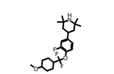 COC1CCC(C(F)(F)Oc2ccc(C3CC(C)(C)NC(C)(C)C3)cc2F)CC1